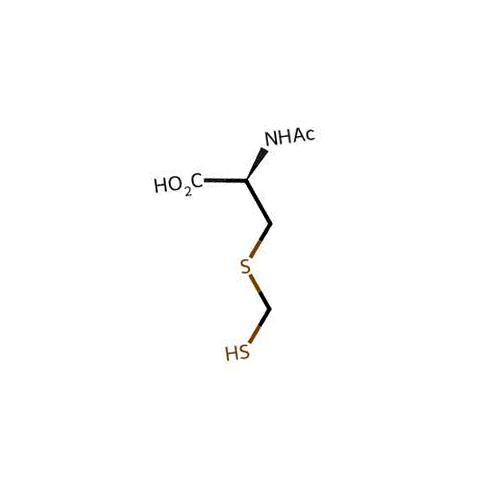 CC(=O)N[C@@H](CSCS)C(=O)O